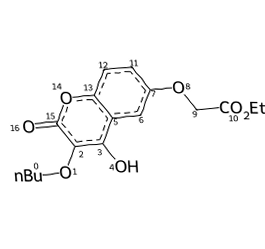 CCCCOc1c(O)c2cc(OCC(=O)OCC)ccc2oc1=O